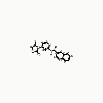 C[C@H](Nc1nccc(N2C(=O)OC[C@H]2C)n1)c1ccc2ccccc2c1